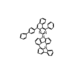 c1ccc(-c2ccc(-c3cc4ccccc4c4c(-c5ccccc5)nc(-n5c6cccc7c8cccc9c%10ccccc%10n(c%10cccc5c%10c76)c89)nc34)cc2)cc1